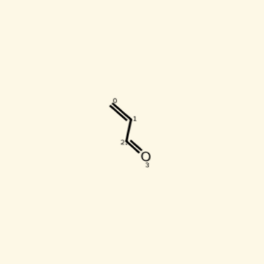 C=C[C]=O